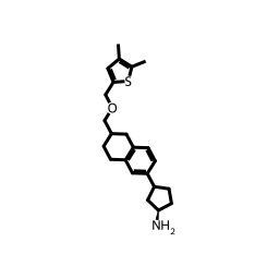 Cc1cc(COCC2CCc3cc(C4CC[C@@H](N)C4)ccc3C2)sc1C